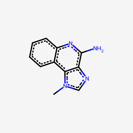 Cn1cnc2c(N)nc3ccccc3c21